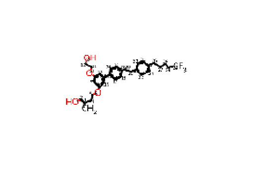 C=C(CO)CCOc1cc(OCCO)cc(-c2ccc(CCc3ccc(CCCCC(F)(F)F)cc3)cc2)c1